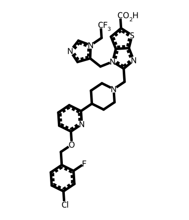 O=C(O)c1cc2c(nc(CN3CCC(c4cccc(OCc5ccc(Cl)cc5F)n4)CC3)n2Cc2cncn2CC(F)(F)F)s1